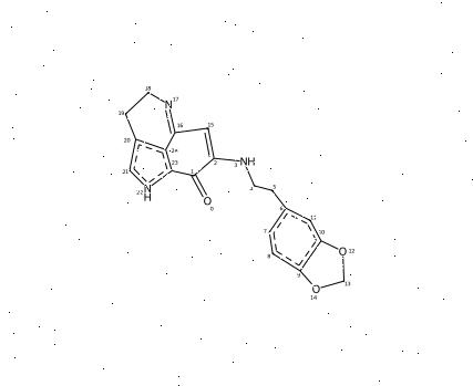 O=C1C(NCCc2ccc3c(c2)OCO3)=CC2=NCCc3c[nH]c1c32